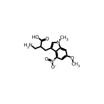 COc1cc([N+](=O)[O-])c2c(CC(CN)C(=O)O)cn(C)c2c1